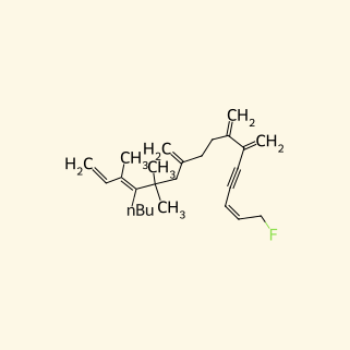 C=C/C(C)=C(\CCCC)C(C)(C)CC(=C)CCC(=C)C(=C)C#C/C=C\CF